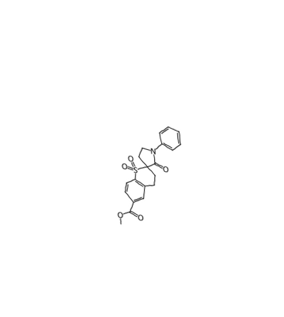 COC(=O)c1ccc2c(c1)CCC1(CCN(c3ccccc3)C1=O)S2(=O)=O